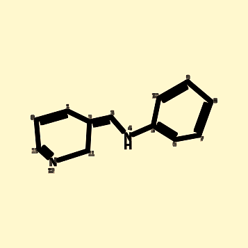 C1=C/C(=C/Nc2ccccc2)CN=C1